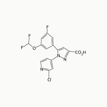 O=C(O)c1cc(-c2cc(F)cc(OC(F)F)c2)n(-c2ccnc(Cl)c2)n1